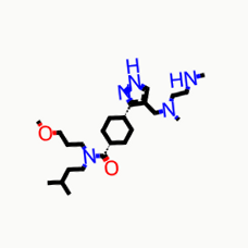 CNCCN(C)Cc1c[nH]nc1[C@H]1CC[C@@H](C(=O)N(CCCOC)CCC(C)C)CC1